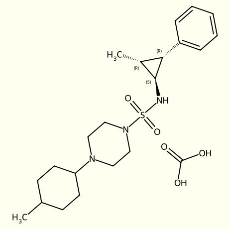 CC1CCC(N2CCN(S(=O)(=O)N[C@H]3[C@H](C)[C@@H]3c3ccccc3)CC2)CC1.O=C(O)O